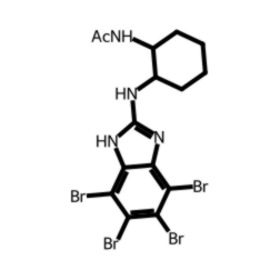 CC(=O)NC1CCCCC1Nc1nc2c(Br)c(Br)c(Br)c(Br)c2[nH]1